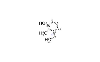 C=c1c(O)ccn/c1=C/C